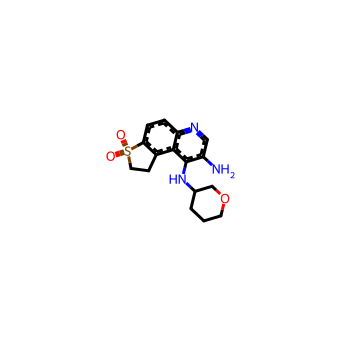 Nc1cnc2ccc3c(c2c1NC1CCCOC1)CCS3(=O)=O